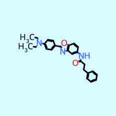 CCN(CC)c1ccc(-c2nc3cc(NC(=O)CCc4ccccc4)ccc3o2)cc1